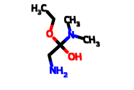 CCOC(O)(CN)N(C)C